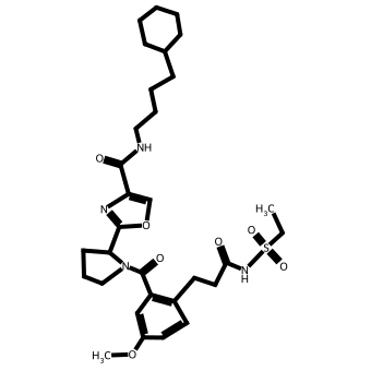 CCS(=O)(=O)NC(=O)CCc1ccc(OC)cc1C(=O)N1CCCC1c1nc(C(=O)NCCCCC2CCCCC2)co1